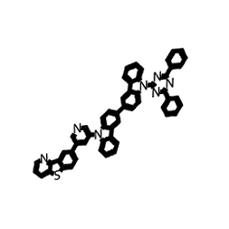 c1ccc(-c2nc(-c3ccccc3)nc(-n3c4ccccc4c4cc(-c5ccc6c(c5)c5ccccc5n6-c5cncc(-c6ccc7sc8cccnc8c7c6)c5)ccc43)n2)cc1